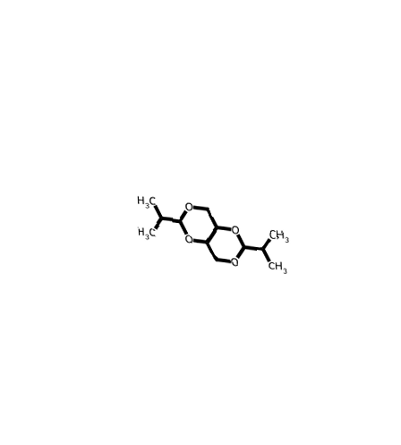 CC(C)C1OCC2OC(C(C)C)OCC2O1